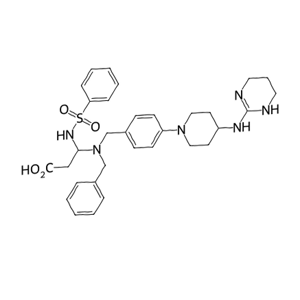 O=C(O)CC(NS(=O)(=O)c1ccccc1)N(Cc1ccccc1)Cc1ccc(N2CCC(NC3=NCCCN3)CC2)cc1